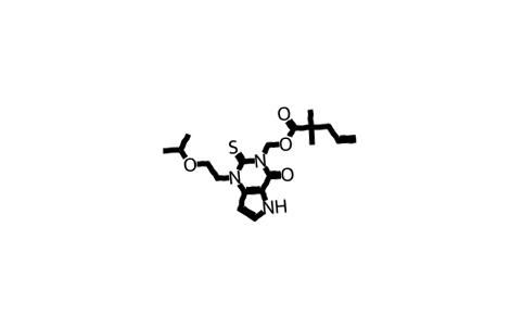 C=CCC(C)(C)C(=O)OCn1c(=O)c2[nH]ccc2n(CCOC(C)C)c1=S